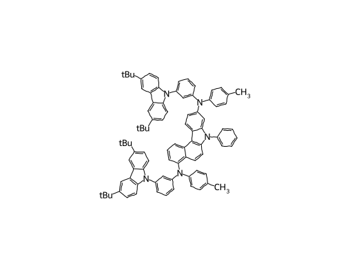 Cc1ccc(N(c2cccc(-n3c4ccc(C(C)(C)C)cc4c4cc(C(C)(C)C)ccc43)c2)c2ccc3c4c5cccc(N(c6ccc(C)cc6)c6cccc(-n7c8ccc(C(C)(C)C)cc8c8cc(C(C)(C)C)ccc87)c6)c5ccc4n(-c4ccccc4)c3c2)cc1